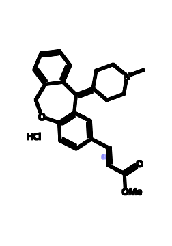 COC(=O)/C=C/c1ccc2c(c1)C(=C1CCN(C)CC1)c1ccccc1CO2.Cl